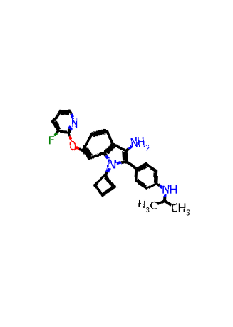 CC(C)Nc1ccc(-c2c(N)c3ccc(Oc4ncccc4F)cc3n2C2CCC2)cc1